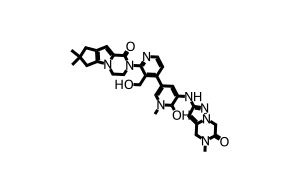 CN1Cc2cc(NC3=CC(c4ccnc(N5CCn6c(cc7c6CC(C)(C)C7)C5=O)c4CO)=CN(C)C3O)nn2CC1=O